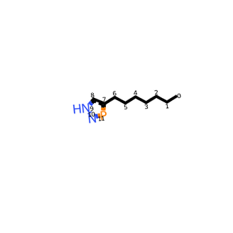 CCCCCCCc1c[nH]np1